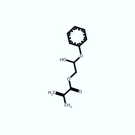 C=C(C)C(=O)OCC(O)Oc1ccccc1